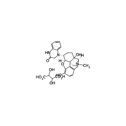 CN1CC[C@]23c4c5ccc(O)c4O[C@H]2[C@H](N2CC(=O)Nc4ccccc42)CCC3(O)[C@H]1C5.O=C(O)C(O)C(O)C(=O)O